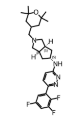 CC1(C)CC(CN2C[C@H]3C[C@H](Nc4ccc(-c5cc(F)cc(F)c5F)nn4)C[C@H]3C2)CC(C)(C)O1